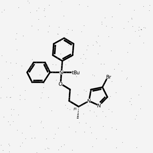 C[C@H](CCO[Si](c1ccccc1)(c1ccccc1)C(C)(C)C)n1cc(Br)cn1